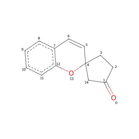 O=C1CCC2(C=Cc3ccccc3O2)C1